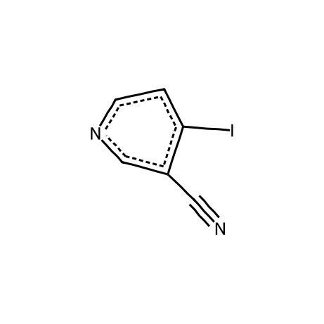 N#Cc1cnccc1I